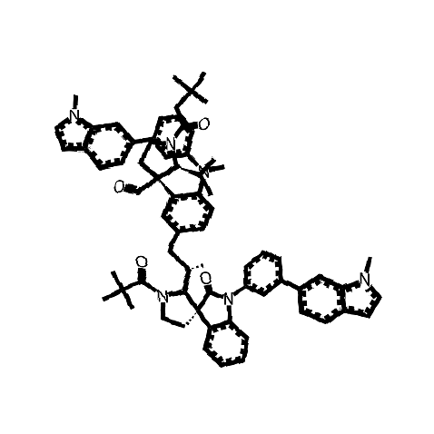 CC(C)[C@@H]1N(C(=O)CC(C)(C)C)CC[C@]1(C=O)c1cc(C[C@H](C)C2N(C(=O)C(C)(C)C)CC[C@@]23C(=O)N(c2cccc(-c4ccc5ccn(C)c5c4)c2)c2ccccc23)ccc1N(C)c1cccc(-c2ccc3ccn(C)c3c2)c1